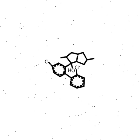 CC1CC2CC(C)C(O)(c3cc(Cl)ccc3-c3ccccc3Cl)C2C1